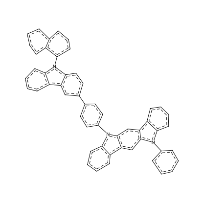 c1ccc(-n2c3ccccc3c3cc4c(cc32)c2ccccc2n4-c2ccc(-c3ccc4c(c3)c3ccccc3n4-c3cccc4ccccc34)cc2)cc1